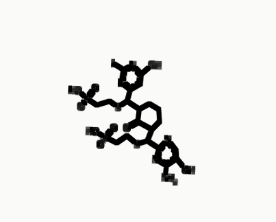 Nc1nc(C(SCCS(=O)(=O)O)C2CCCC(C(SCCS(=O)(=O)O)c3cc(O)nc(I)n3)C2=O)ncc1O